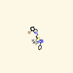 CC(=CCN1CCc2cccc(Br)c2C1)Sc1nnc(C2CCCCC2)n1C